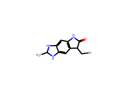 CC(C)CC1C(=O)Nc2cc3c(cc21)NC(C)N3